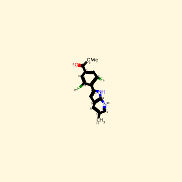 COC(=O)c1cc(F)c(-c2cc3cc(C)cnc3[nH]2)c(F)c1